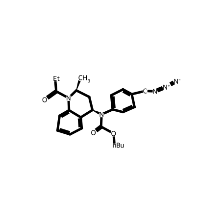 CCCCOC(=O)N(c1ccc(CN=[N+]=[N-])cc1)[C@@H]1C[C@H](C)N(C(=O)CC)c2ccccc21